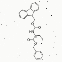 O=C(N[C@@H](CI)C(=O)OCc1ccccc1)OCC1c2ccccc2-c2ccccc21